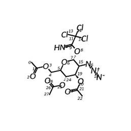 CC(=O)OCC1O[C@H](OC(=N)C(Cl)(Cl)Cl)C(N=[N+]=[N-])[C@@H](OC(C)=O)[C@@H]1OC(C)=O